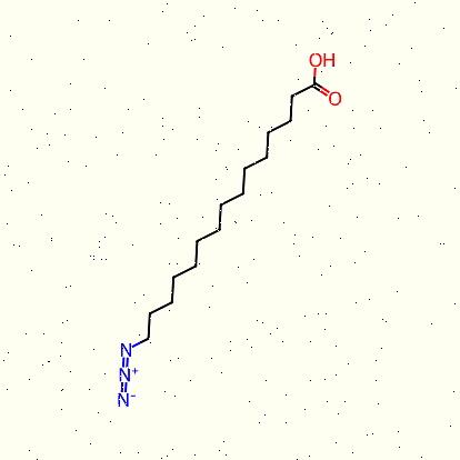 [N-]=[N+]=NCCCCCCCCCCCCCCC(=O)O